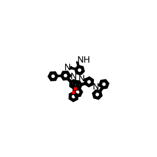 N#Cc1c(C=N)ccc(-n2c3ccc(-n4c5ccccc5c5ccccc54)cc3c3c4ccccc4ccc32)c1-n1c2ccc(-c3ccccc3)cc2c2cc(-c3ccccc3)ccc21